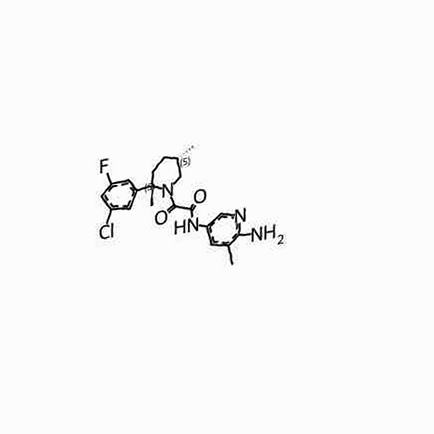 Cc1cc(NC(=O)C(=O)N2C[C@@H](C)CC[C@@]2(C)c2cc(F)cc(Cl)c2)cnc1N